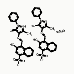 Cc1[nH]n(-c2ccccc2)c(=O)c1N=Nc1c(O)cc(S(=O)(=O)[O-])c2ccccc12.Cc1nn(-c2ccccc2)c(O)c1N=Nc1c(O)cc(S(=O)(=O)[O-])c2ccccc12.[Cr].[Na+].[Na+]